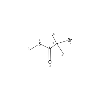 CSC(=O)C(C)(C)Br